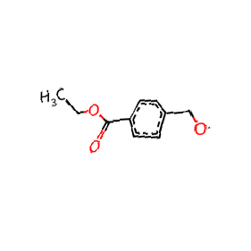 CCOC(=O)c1ccc(C[O])cc1